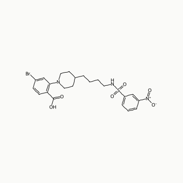 O=C(O)c1ccc(Br)cc1N1CCC(CCCCNS(=O)(=O)c2cccc([N+](=O)[O-])c2)CC1